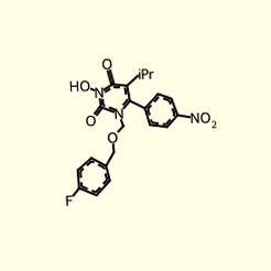 CC(C)c1c(-c2ccc([N+](=O)[O-])cc2)n(COCc2ccc(F)cc2)c(=O)n(O)c1=O